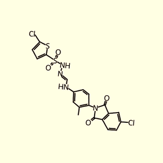 Cc1cc(NC=NNS(=O)(=O)c2ccc(Cl)s2)ccc1N1C(=O)c2ccc(Cl)cc2C1=O